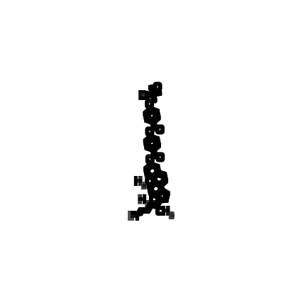 CCC1(COc2ccc(C(=O)Oc3ccc(C(=O)OC4CCC5(C)C(=CCC6C5CCC5(C)C(C(C)CCCC(C)C)CCC65)C4)cc3)cc2)COC1